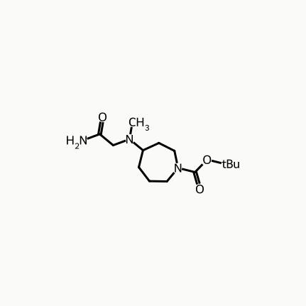 CN(CC(N)=O)C1CCCN(C(=O)OC(C)(C)C)CC1